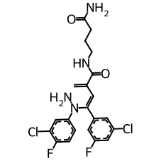 C=C(/C=C(/c1cc(F)cc(Cl)c1)N(N)c1ccc(F)c(Cl)c1)C(=O)NCCCC(N)=O